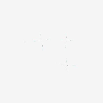 F[B-](F)(F)F.F[B-](F)(F)F.F[B-](F)(F)F.[BaH2]